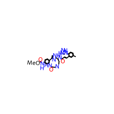 COC(=O)Nc1ccc2c(c1)NC(=O)CN(C)CC[C@H](NC(=O)/C=C/c1cc(C)ccc1-n1cnnn1)c1nc-2c[nH]1